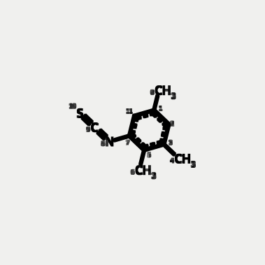 Cc1cc(C)c(C)c(N=C=S)c1